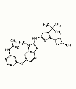 CC(=O)Nc1cc(Oc2cnc3nc(Nc4cc(C(C)(C)C)n(C5CC(O)C5)n4)n(C)c3c2)ccn1